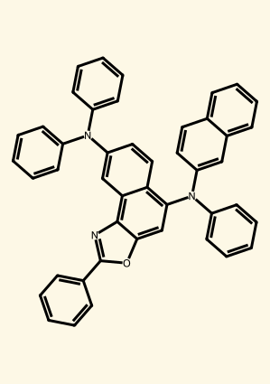 c1ccc(-c2nc3c(cc(N(c4ccccc4)c4ccc5ccccc5c4)c4ccc(N(c5ccccc5)c5ccccc5)cc43)o2)cc1